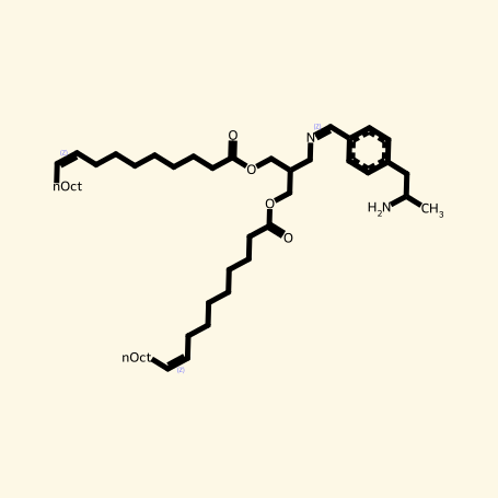 CCCCCCCC/C=C\CCCCCCCC(=O)OCC(C/N=C\c1ccc(CC(C)N)cc1)COC(=O)CCCCCCC/C=C\CCCCCCCC